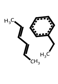 CC=CC=CC.CCc1ccccc1